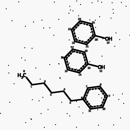 CCCCCCc1ccccc1.Oc1ccccc1.Oc1ccccc1